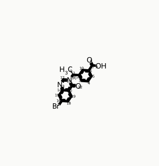 C[C@H](c1cccc(C(=O)O)c1)n1cnc2cc(Br)ccc2c1=O